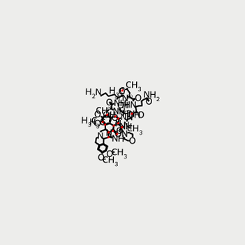 CCC1CN2CCc3cc(OC)c(OC)cc3C2CC1CC1c2cc(OC)c(OC)cc2CCN1C(=O)N(C)CCNC(=O)C(CCC(N)=O)NC(=O)[C@H](CC(C)C)NC(=O)[C@H](CCCCN)NC(=O)[C@H](CO)NC(=O)[C@H](CO)NC(=O)[C@H](Cc1c[nH]cn1)NC(=O)N1CCOCC1